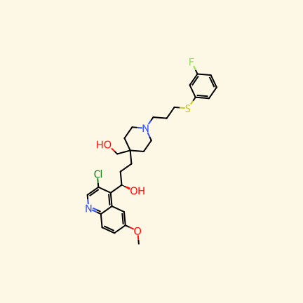 COc1ccc2ncc(Cl)c([C@H](O)CCC3(CO)CCN(CCCSc4cccc(F)c4)CC3)c2c1